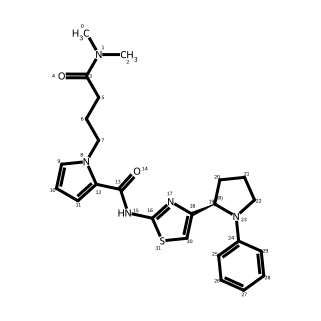 CN(C)C(=O)CCCn1cccc1C(=O)Nc1nc([C@H]2CCCN2c2ccccc2)cs1